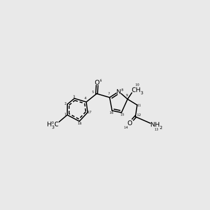 Cc1ccc(C(=O)C2=NC(C)(CC(N)=O)C=C2)cc1